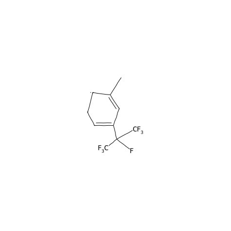 CC1=CC(C(F)(C(F)(F)F)C(F)(F)F)=CC[CH]1